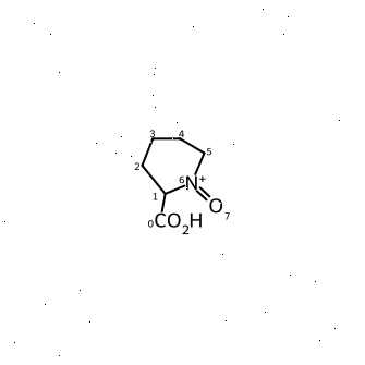 O=C(O)C1CCCC[N+]1=O